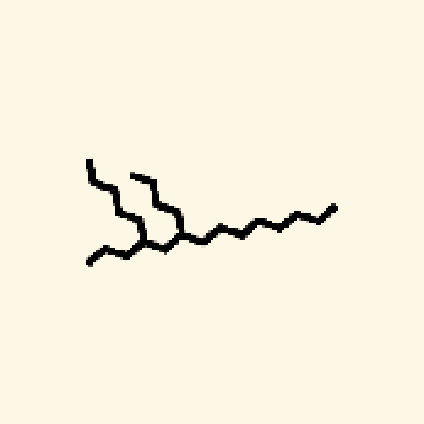 CCCCCCCCC([CH]C(CCC)CCCCC)CCCC